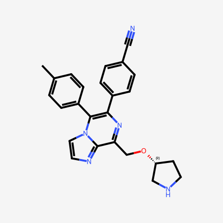 Cc1ccc(-c2c(-c3ccc(C#N)cc3)nc(CO[C@@H]3CCNC3)c3nccn23)cc1